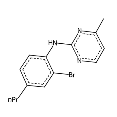 CCCc1ccc(Nc2nccc(C)n2)c(Br)c1